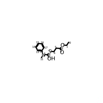 CCOC(=O)CCSC(O)N(C)c1ccccc1